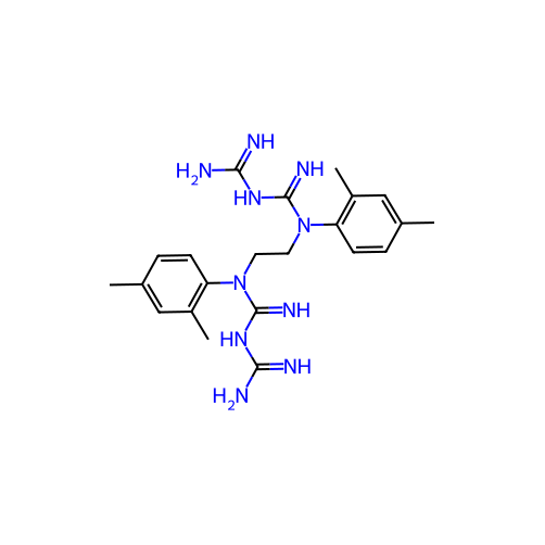 Cc1ccc(N(CCN(C(=N)NC(=N)N)c2ccc(C)cc2C)C(=N)NC(=N)N)c(C)c1